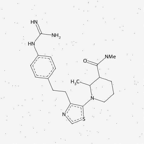 CNC(=O)C1CCCN(c2scnc2CCc2ccc(NC(=N)N)cc2)C1C